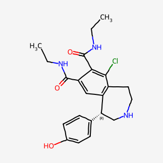 CCNC(=O)c1cc2c(c(Cl)c1C(=O)NCC)CCNC[C@@H]2c1ccc(O)cc1